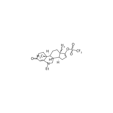 CCN1C[C@@H]2[C@H](CC[C@]3(C)C(OS(=O)(=O)C(F)(F)F)=CC[C@@H]23)[C@@]2(C)CCC(=O)C=C12